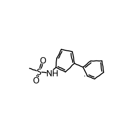 CS(=O)(=O)Nc1cccc(-c2[c]cccc2)c1